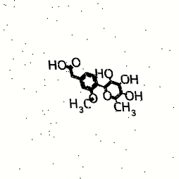 COc1cc(CC(=O)O)ccc1[C@@H]1O[C@@H](C)[C@@H](O)[C@@H](O)[C@@H]1O